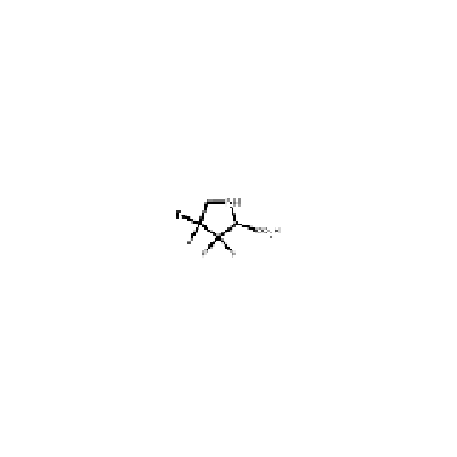 O=C(O)C1NCC(F)(F)C1(F)F